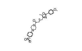 COc1ccc(-c2nc(CSCC(=O)N3CCN(c4ccc([N+](=O)[O-])cc4)CC3)c(C)o2)cc1